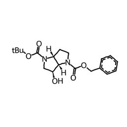 CC(C)(C)OC(=O)N1C[C@H](O)[C@@H]2[C@H]1CCN2C(=O)OCc1ccccc1